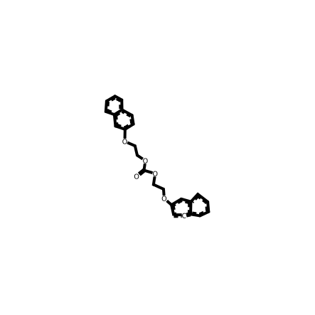 O=C(OCCOc1ccc2ccccc2c1)OCCOc1ccc2ccccc2c1